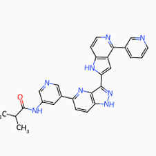 CC(C)C(=O)Nc1cncc(-c2ccc3[nH]nc(-c4cc5c(-c6cccnc6)nccc5[nH]4)c3n2)c1